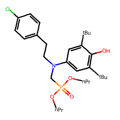 CCCOP(=O)(CN(CCc1ccc(Cl)cc1)c1cc(C(C)(C)C)c(O)c(C(C)(C)C)c1)OCCC